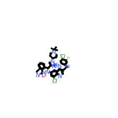 CN1Cc2cccc([C@H](Nc3cc(Cl)c4ncc(C#N)c(Nc5ccc(F)c(Cl)c5)c4c3)c3cn(C4CCN(C(C)(C)C)CC4)nn3)c2C1=O